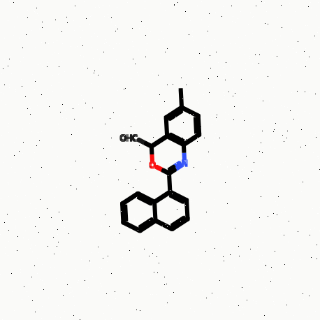 Cc1ccc2c(c1)C(C=O)OC(c1cccc3ccccc13)=N2